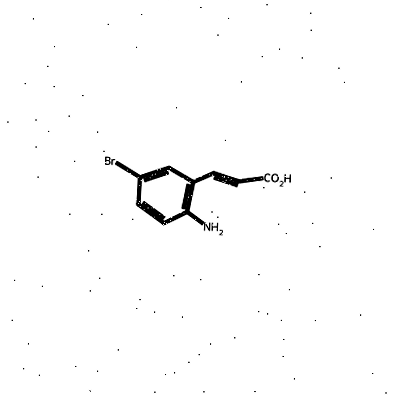 Nc1ccc(Br)cc1/C=C/C(=O)O